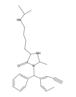 C#C/C=C(\C=C/C)C(c1ccccc1)N1C(=O)C(CCCCNC(C)C)NC1C